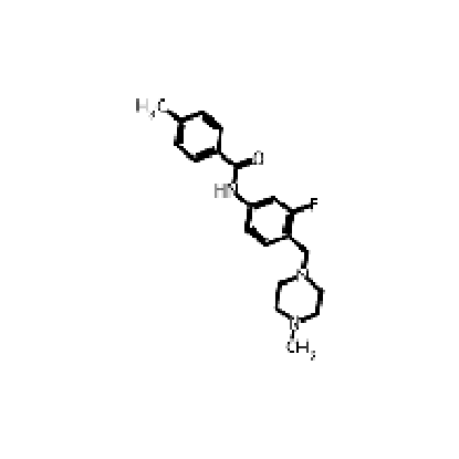 Cc1ccc(C(=O)Nc2ccc(CN3CCN(C)CC3)c(F)c2)cc1